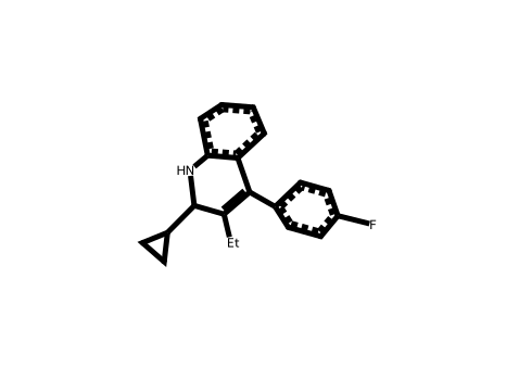 CCC1=C(c2ccc(F)cc2)c2ccccc2NC1C1CC1